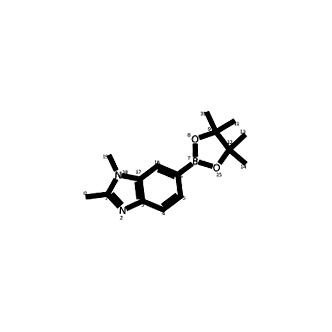 Cc1nc2ccc(B3OC(C)(C)C(C)(C)O3)cc2n1C